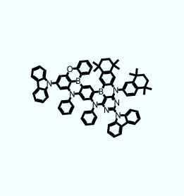 CC1(C)CCC(C)(C)c2cc(N3c4cc5c(cc4B4c6cc7c(cc6N(c6ccccc6)c6nc(-n8c9ccccc9c9ccccc98)nc3c64)N(c3ccccc3)c3cc(-n4c6ccccc6c6ccccc64)cc4c3B7c3ccccc3O4)C(C)(C)CCC5(C)C)ccc21